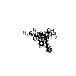 CCNC(=O)C(=O)[C@H](CC1CCCCC1)NC(=O)[C@H](CC(C)C)NC(=O)CCCCC1CCSS1